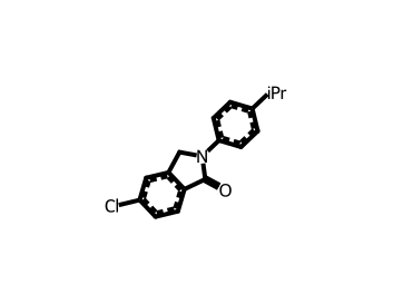 CC(C)c1ccc(N2Cc3cc(Cl)ccc3C2=O)cc1